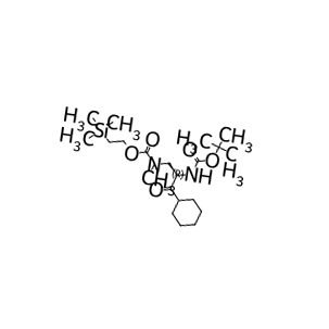 CN(C[C@@H](NC(=O)OC(C)(C)C)C(=O)C1CCCCC1)C(=O)OCC[Si](C)(C)C